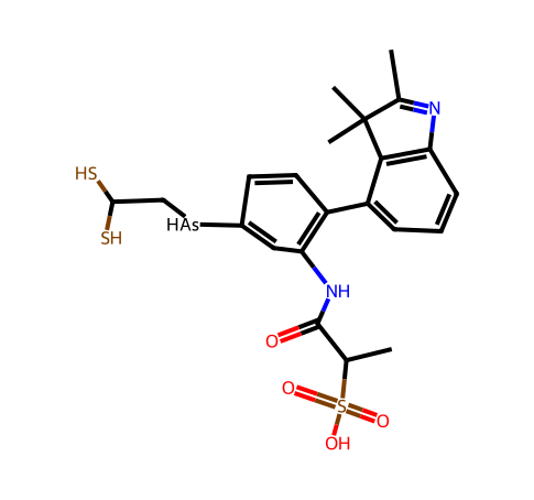 CC1=Nc2cccc(-c3ccc([AsH]CC(S)S)cc3NC(=O)C(C)S(=O)(=O)O)c2C1(C)C